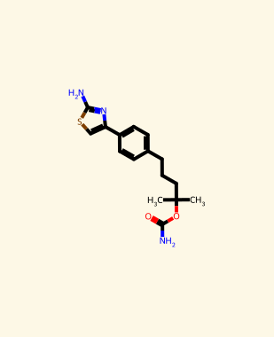 CC(C)(CCCc1ccc(-c2csc(N)n2)cc1)OC(N)=O